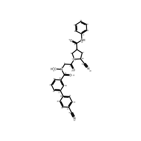 CN(CC(=O)N1CC(C(=O)Nc2ccccc2)CC1C#N)C(=O)c1cccc(-c2ccc(C#N)cc2)c1